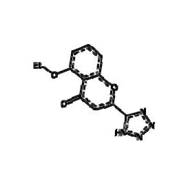 CCOc1cccc2oc(-c3nnn[nH]3)cc(=O)c12